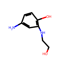 Nc1ccc(O)c(NCCO)c1